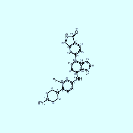 CC(C)N1CCN(c2ccc(Nc3ccc(-c4ccc5c(c4)C=NC5=O)n4ccnc34)cc2F)CC1